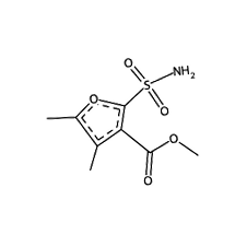 COC(=O)c1c(S(N)(=O)=O)oc(C)c1C